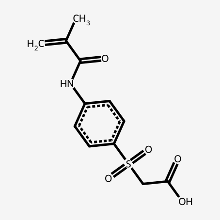 C=C(C)C(=O)Nc1ccc(S(=O)(=O)CC(=O)O)cc1